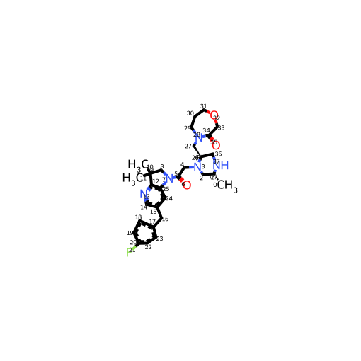 C[C@@H]1CN(CC(=O)N2CC(C)(C)c3ncc(Cc4ccc(F)cc4)cc32)[C@@H](CN2CCCOCC2=O)CN1